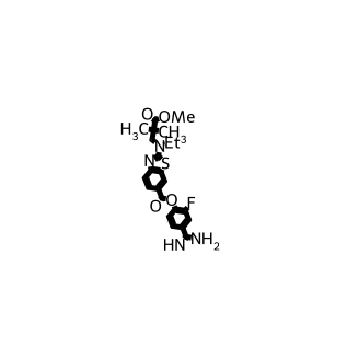 CCN(CC(C)(C)C(=O)OC)c1nc2ccc(C(=O)Oc3ccc(C(=N)N)cc3F)cc2s1